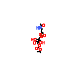 CC(=O)NCCCS(=O)(=O)OCC(C)(C)[C@@](O)(COC(=O)OC(C)C)C(=O)O